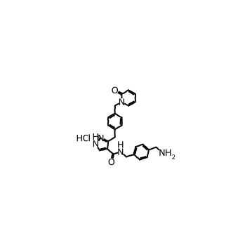 Cl.NCc1ccc(CNC(=O)c2c[nH]nc2Cc2ccc(Cn3ccccc3=O)cc2)cc1